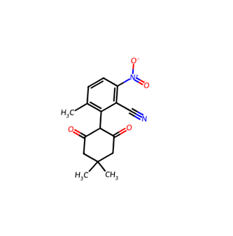 Cc1ccc([N+](=O)[O-])c(C#N)c1C1C(=O)CC(C)(C)CC1=O